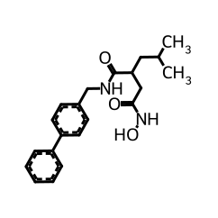 CC(C)CC(CC(=O)NO)C(=O)NCc1ccc(-c2ccccc2)cc1